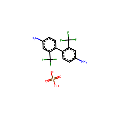 Nc1ccc(-c2ccc(N)cc2C(F)(F)F)c(C(F)(F)F)c1.O=S(=O)(O)O